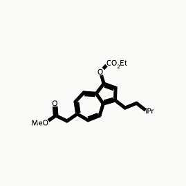 CCOC(=O)Oc1cc(CCC(C)C)c2ccc(CC(=O)OC)ccc1-2